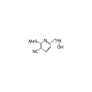 CSc1nc(/C=N\O)ccc1C#N